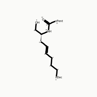 CCCCCCCCCCCCC/C=C/C[C@H](CO)NC(=O)CCCCC